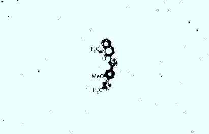 COc1cc(-c2cn([C@@H]3CCC4C=CC=NC4N(CC(F)(F)F)C3=O)nn2)ccc1-n1cnc(C)c1